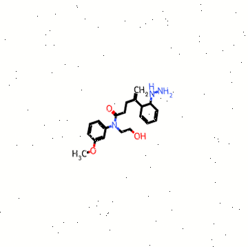 C=C(CCC(=O)N(CCO)c1cccc(OC)c1)C1C=CC=CC1NN